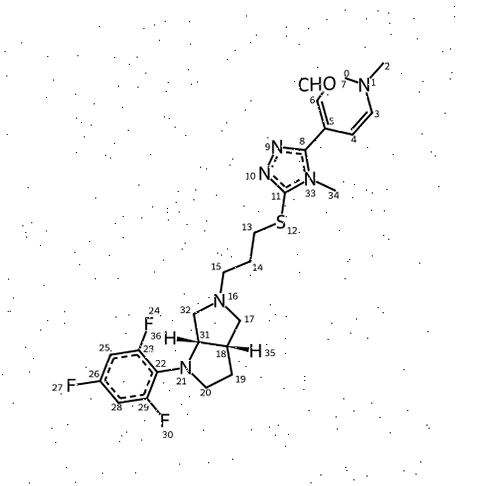 CN(C)/C=C\C(=C/C=O)c1nnc(SCCCN2C[C@@H]3CCN(c4c(F)cc(F)cc4F)[C@@H]3C2)n1C